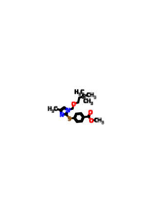 COC(=O)c1ccc(Sc2nc(C)cn2COCC[Si](C)(C)C)cc1